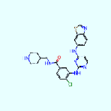 O=C(NCC1CCNCC1)c1ccc(Cl)c(Nc2nccc(Nc3ccc4ncsc4c3)n2)c1